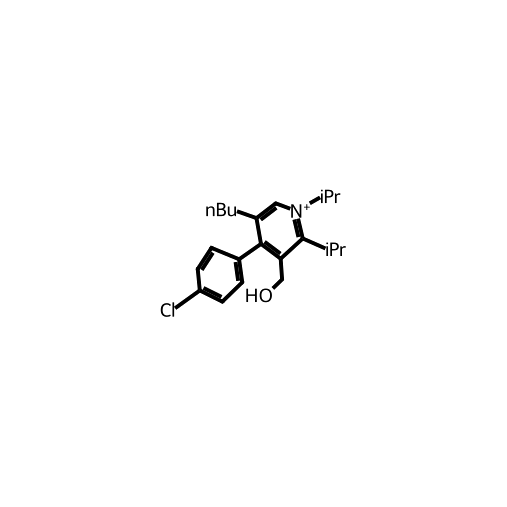 CCCCc1c[n+](C(C)C)c(C(C)C)c(CO)c1-c1ccc(Cl)cc1